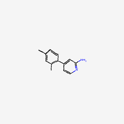 Cc1c[c]c(-c2ccnc(N)c2)c(C)c1